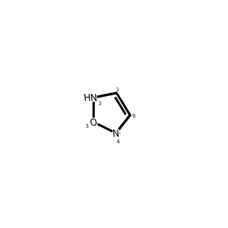 C1=CNO[N]1